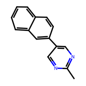 Cc1ncc(-c2ccc3ccccc3c2)cn1